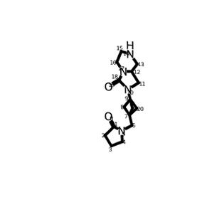 O=C1CCCN1CC12CC(N3CC4CNCCN4C3=O)(C1)C2